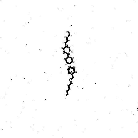 CCC=CCOCc1ccc([C@H]2CC[C@H]([C@H]3CC[C@H](CC=CCC)CC3)CC2)cc1